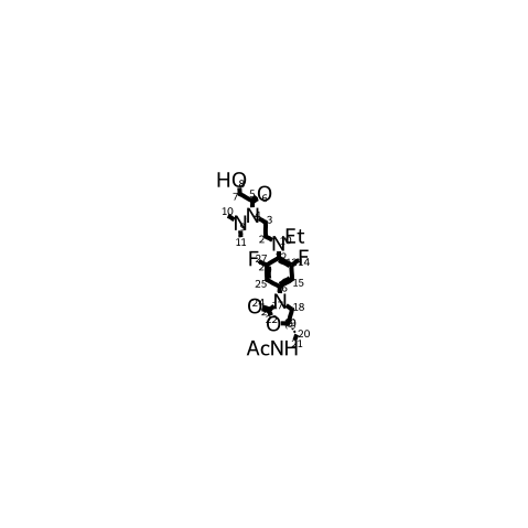 CCN(CCN(C(=O)CO)N(C)C)c1c(F)cc(N2C[C@H](CNC(C)=O)OC2=O)cc1F